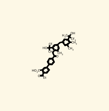 CCC(=O)c1ccc(-c2ccc(C(=O)Cc3c(C)cc(Cc4cc(C)c(C)c(C(C)(O)C(F)(F)F)c4)cc3C(C)(O)C(F)(F)F)cc2)cc1C(=O)O